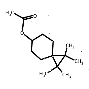 CC(=O)OC1CCC2(CC1)C(C)(C)C2(C)C